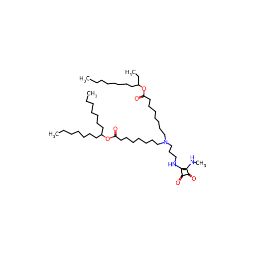 CCCCCCCCC(CC)OC(=O)CCCCCCCN(CCCCCCCC(=O)OC(CCCCCCC)CCCCCCC)CCCNc1c(NC)c(=O)c1=O